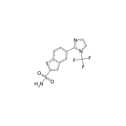 NS(=O)(=O)c1cc2cc(-c3nccn3C(F)(F)F)ccc2s1